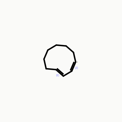 [C]1=C\C=C\CCCCCC/1